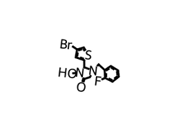 O=C1CN(Cc2ccccc2F)C(c2cc(Br)cs2)N1O